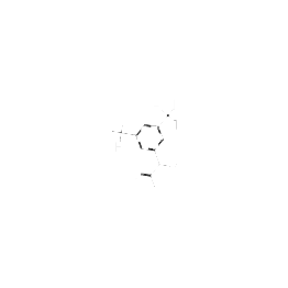 CC(=O)C(Br)c1cc(C(F)(F)F)cc(C(F)(F)F)c1